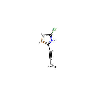 CC#Cc1nc(Br)cs1